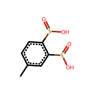 Cc1ccc(S(=O)O)c(S(=O)O)c1